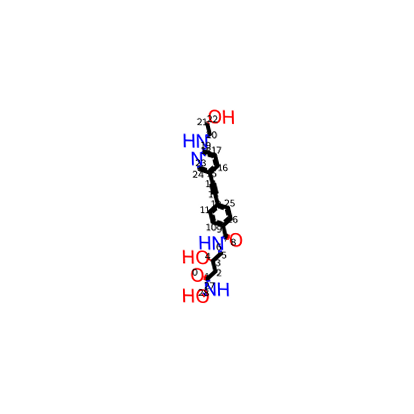 O=C(C[C@H](O)CNC(=O)c1ccc(C#Cc2ccc(NCCO)nc2)cc1)NO